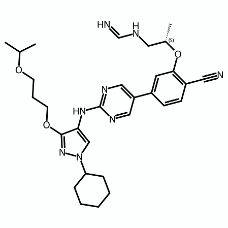 CC(C)OCCCOc1nn(C2CCCCC2)cc1Nc1ncc(-c2ccc(C#N)c(O[C@@H](C)CNC=N)c2)cn1